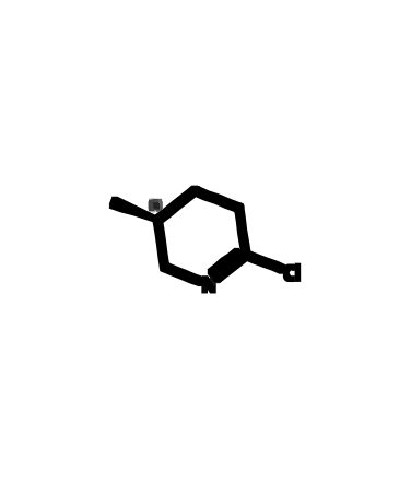 C[C@H]1CCC(Cl)=NC1